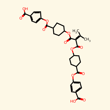 CC(C)=C(C(=O)OC1CCC(C(=O)Oc2ccc(C(=O)O)cc2)CC1)C(=O)OC1CCC(C(=O)Oc2ccc(C(=O)O)cc2)CC1